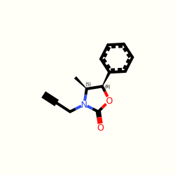 C#CCN1C(=O)O[C@H](c2ccccc2)[C@@H]1C